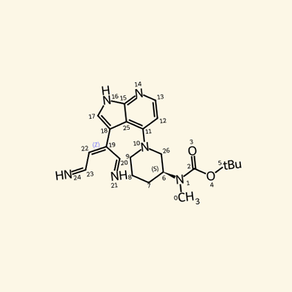 CN(C(=O)OC(C)(C)C)[C@H]1CCCN(c2ccnc3[nH]cc(/C(C=N)=C/C=N)c23)C1